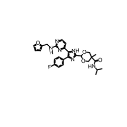 CC(C)NC(=O)C1(C)COC(c2nc(-c3ccc(F)cc3)c(-c3ccnc(NCc4ccco4)n3)[nH]2)OC1